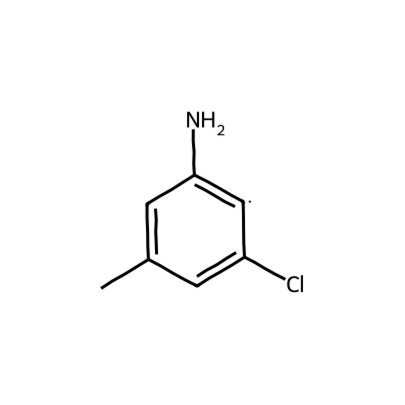 Cc1cc(N)[c]c(Cl)c1